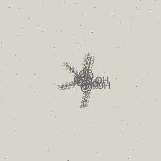 CCCCCCCCC(=O)Oc1c(C(=O)CCCCCCCC)c(OC(=O)CCCCCCCC)c2c(=O)c(OC(=O)CCCCCCCC)c(-c3ccc(O)c(O)c3)oc2c1C(=O)CCCCCCCC